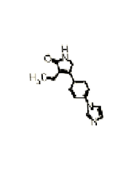 CCC1=C(c2ccc(-n3ccnc3)cc2)CNC1=O